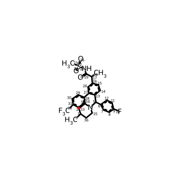 CC1CCN(C(c2ccc(F)cc2)c2ccc(C(C)C(=O)NS(C)(=O)=O)cc2-c2ccc(C(F)(F)F)cc2)CC1